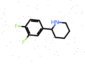 Fc1ccc(C2[CH]CCCN2)cc1F